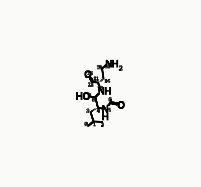 CC(C)C[C@@H](NC=O)C(O)N[C@H](C=O)CCN